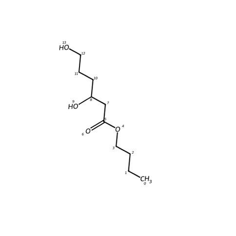 CCCCOC(=O)CC(O)CCCO